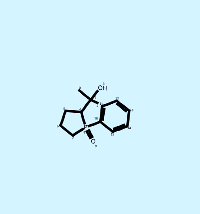 CC(C)(O)C1CCCP1(=O)c1ccccc1